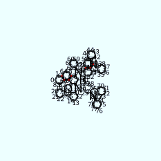 c1ccc(-c2cc3c4c(c2)N(c2cccc5c2oc2ccccc25)C2CC5C(CC2B4c2cc4c6ccccc6n(-c6ccccc6)c4cc2N3c2c(-c3ccccc3)cccc2-c2ccccc2)c2cccc3c4ccccc4n5c23)cc1